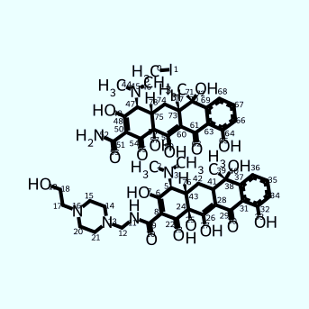 CI.CN(C)[C@@H]1C(O)=C(C(=O)NCN2CCN(CCO)CC2)C(=O)[C@@]2(O)C(O)=C3C(=O)c4c(O)cccc4[C@@](C)(O)C3C[C@@H]12.CN(C)[C@@H]1C(O)=C(C(N)=O)C(=O)[C@@]2(O)C(O)=C3C(=O)c4c(O)cccc4[C@@](C)(O)[C@H]3C[C@@H]12